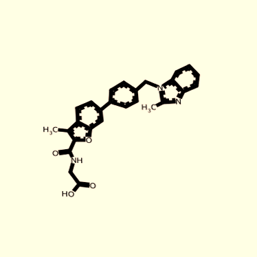 Cc1c(C(=O)NCC(=O)O)oc2cc(-c3ccc(Cn4c(C)nc5ccccc54)cc3)ccc12